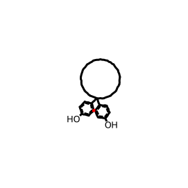 Oc1ccc(C2(c3ccc(O)cc3)CCCCCCCCCCCCCCCC2)cc1